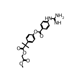 COC(=O)COC(=O)C(C)(C)c1ccc(OC(=O)c2ccc(NC(=N)N)cc2)cc1